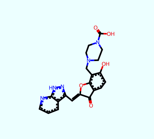 O=C1C(=Cc2n[nH]c3ncccc23)Oc2c1ccc(O)c2CN1CCN(C(=O)O)CC1